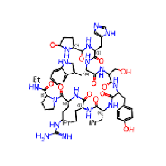 CCNC(=O)[C@@H]1CCCN1C(=O)[C@H](CCCNC(=N)N)NC(=O)[C@H](CCC(C)C)NC(=O)[C@@H](CC(C)C)NC(=O)C(Cc1ccc(O)cc1)NC(=O)[C@H](CO)NC(=O)[C@H](Cc1c[nH]c2ccccc12)NC(=O)[C@H](Cc1cnc[nH]1)NC(=O)[C@@H]1CCC(=O)N1